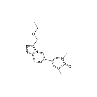 CCOCc1cnc2ccc(-c3cc(C)c(=O)n(C)c3)cn12